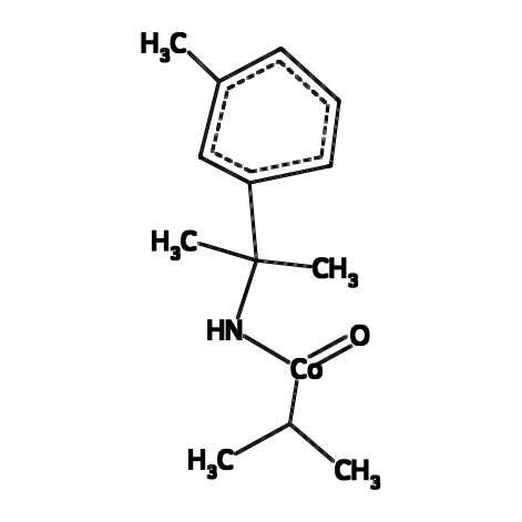 Cc1cccc(C(C)(C)[NH][Co](=[O])[CH](C)C)c1